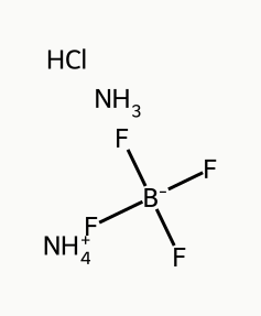 Cl.F[B-](F)(F)F.N.[NH4+]